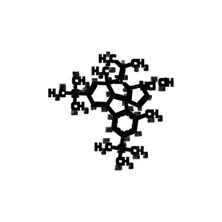 C[C](C)=[Zr]([C]1=CC=CC1)[C]1(C)C=C([Si](C)(C)C)C=C2C1=Cc1c(C)cc([Si](C)(C)C)cc12.Cl.Cl